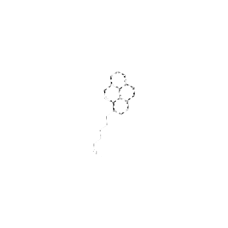 NCCCCCc1ccc2ccc3cccc4ccc1c2c34